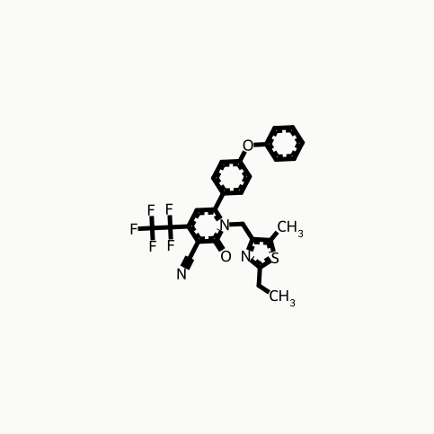 CCc1nc(Cn2c(-c3ccc(Oc4ccccc4)cc3)cc(C(F)(F)C(F)(F)F)c(C#N)c2=O)c(C)s1